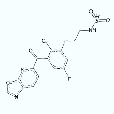 O=C(c1ccc2ncoc2n1)c1cc(F)cc(CCCN[SH](=O)=O)c1Cl